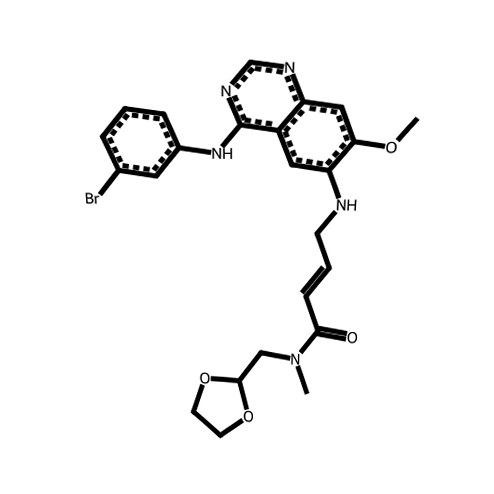 COc1cc2ncnc(Nc3cccc(Br)c3)c2cc1NCC=CC(=O)N(C)CC1OCCO1